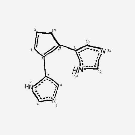 C1=CC(c2cnc[nH]2)=C(c2cnc[nH]2)C1